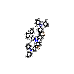 c1ccc(-c2ccc(N(c3ccc4sc5cc(N(c6ccccc6)c6ccccc6)ccc5c4c3)c3ccc4sc5ccc(N(c6ccccc6)c6ccccc6)cc5c4c3)cc2-c2ccccc2)cc1